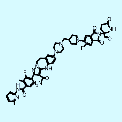 Cc1cccc(NC(=O)c2ccc(-c3nn4c(c3C(N)=O)Nc3ccc(N5CCN(CC6CCN(c7cc8c(cc7F)C(=O)N(C7(C=O)CCC(=O)NC7)C8=O)CC6)CC5)cc3CC4)c(F)c2C)n1